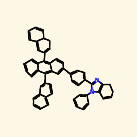 C1=CC2=CC(c3c4ccccc4c(-c4ccc5ccccc5c4)c4cc(-c5ccc(-c6nc7c(n6-c6ccccc6)C=CCC7)cc5)ccc34)=CCC2C=C1